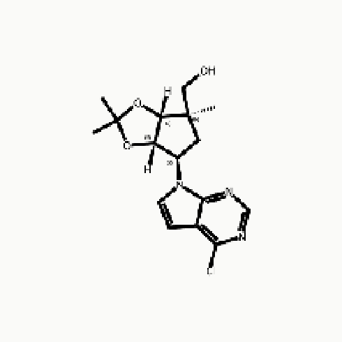 CC1(C)O[C@H]2[C@H](n3ccc4c(Cl)ncnc43)C[C@](C)(CO)[C@H]2O1